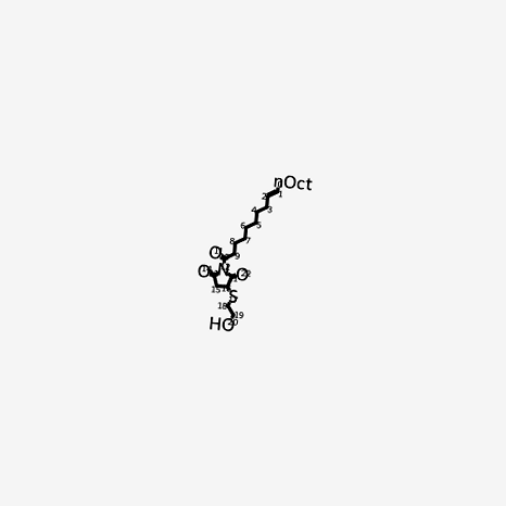 CCCCCCCCC=CCCCCCCCC(=O)N1C(=O)CC(SCCO)C1=O